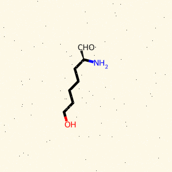 N[C@H]([C]=O)CCCCCO